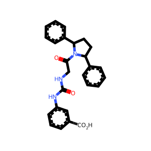 O=C(NCC(=O)N1C(c2ccccc2)CCC1c1ccccc1)Nc1cccc(C(=O)O)c1